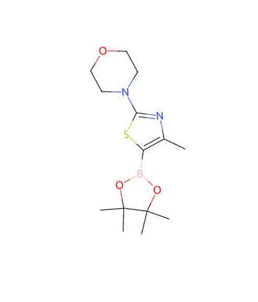 Cc1nc(N2CCOCC2)sc1B1OC(C)(C)C(C)(C)O1